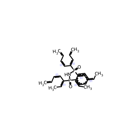 C=C/C=C\C(=C/C=C)P(=O)(NP(=O)(C(/C=C\C=C)=C/C)c1ccccc1)C(/C=C\C)=C/C=C\C